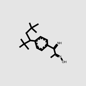 C/C(=N\O)C(=N)c1ccc(C(CC(C)(C)C)C(C)(C)C)cc1